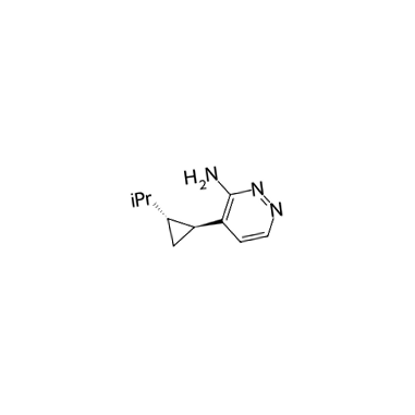 CC(C)[C@H]1C[C@@H]1c1ccnnc1N